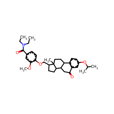 CCN(CC)C(=O)c1ccc(OCC2CCC3C4CC(=O)c5cc(OC(C)C)ccc5C4CCC23C)c(OC)c1